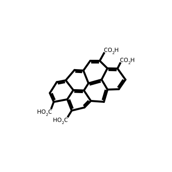 O=C(O)c1ccc2cc3cc(C(=O)O)c4c(C(=O)O)ccc5cc6cc(C(=O)O)c1c2c6c3c54